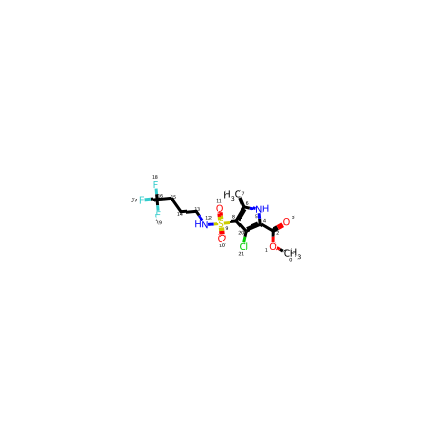 COC(=O)c1[nH]c(C)c(S(=O)(=O)NCCCC(F)(F)F)c1Cl